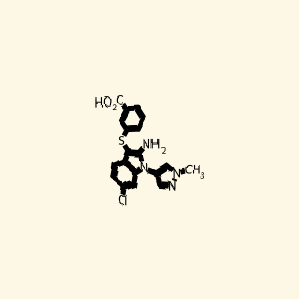 Cn1cc(-n2c(N)c(Sc3cccc(C(=O)O)c3)c3ccc(Cl)cc32)cn1